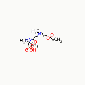 C=CC(=O)OCCCN(C)CCC(=O)NC(C)(C)CS(=O)(=O)O